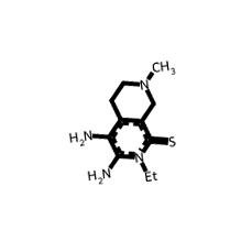 CCn1c(N)c(N)c2c(c1=S)CN(C)CC2